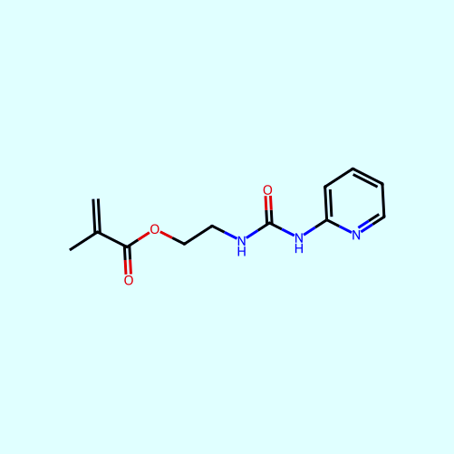 C=C(C)C(=O)OCCNC(=O)Nc1ccccn1